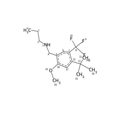 CCCNCc1cc(C(F)(F)F)c(C(C)(C)C)cc1OC